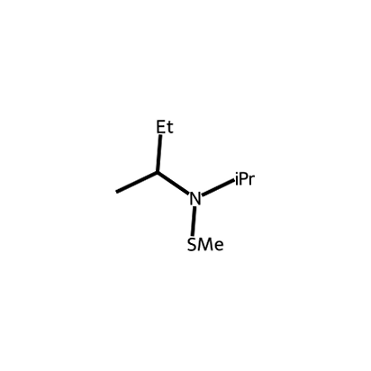 CCC(C)N(SC)C(C)C